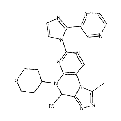 CCC1c2nnc(C)n2-c2cnc(-n3ccnc3-c3cnccn3)nc2N1C1CCOCC1